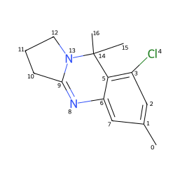 Cc1cc(Cl)c2c(c1)N=C1CCCN1C2(C)C